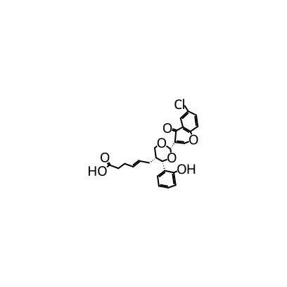 O=C(O)CCC=CC[C@@H]1CO[C@H](c2coc3ccc(Cl)cc3c2=O)O[C@@H]1c1ccccc1O